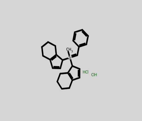 Cl.Cl.[CH3][Zr](=[CH]c1ccccc1)([CH]1C=CC2=C1CCCC2)[CH]1C=CC2=C1CCCC2